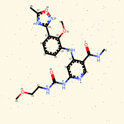 CNC(=O)c1cnc(NC(=O)NCCOC)cc1Nc1cccc(-c2noc(C)n2)c1OC